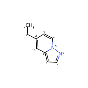 CCc1ccn2nccc2c1